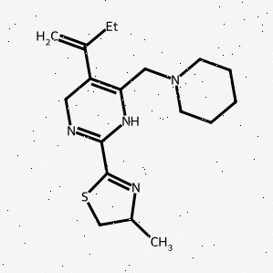 C=C(CC)C1=C(CN2CCCCC2)NC(C2=NC(C)CS2)=NC1